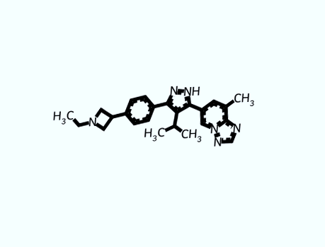 CCN1CC(c2ccc(-c3n[nH]c(-c4cc(C)c5ncnn5c4)c3C(C)C)cc2)C1